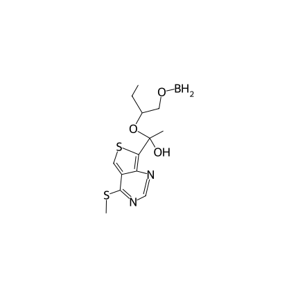 BOCC(CC)OC(C)(O)c1scc2c(SC)ncnc12